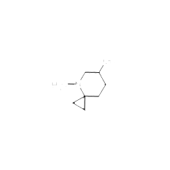 CN1CC(O)CCC12CC2